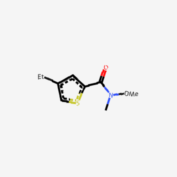 CCc1csc(C(=O)N(C)OC)c1